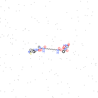 Cc1ncsc1-c1ccc(CNC(=O)[C@@H]2CCCN2C(=O)CNC(=O)CCCCCCCCCCNC(=O)COc2cccc3c2C(=O)N(C2CCC(=O)NC2=O)C3=O)cc1